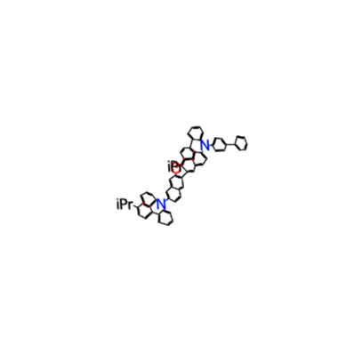 CC(C)c1ccc(-c2ccccc2N(c2ccccc2)c2ccc3cc4c(cc3c2)oc2cc3cc(N(c5ccc(-c6ccccc6)cc5)c5ccccc5-c5ccc(C(C)C)cc5)ccc3cc24)cc1